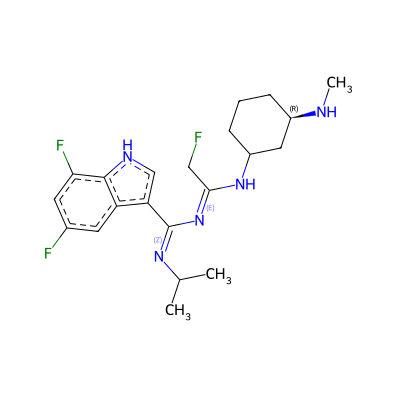 CN[C@@H]1CCCC(N/C(CF)=N/C(=N\C(C)C)c2c[nH]c3c(F)cc(F)cc23)C1